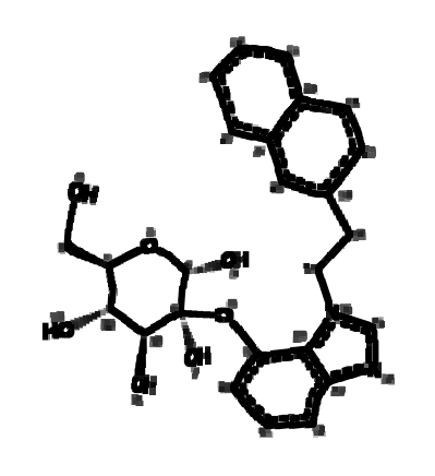 OC[C@H]1O[C@H](O)[C@@](O)(Oc2cccc3ncn(CCc4ccc5ccccc5c4)c23)[C@@H](O)[C@@H]1O